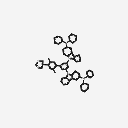 Cc1cc(-c2cc(-n3c4ccccc4c4cc(N(c5ccccc5)c5ccccc5)ccc43)cc(-n3c4ccccc4c4cc(N(c5ccccc5)c5ccccc5)ccc43)c2)c(C)cc1-c1cncnc1